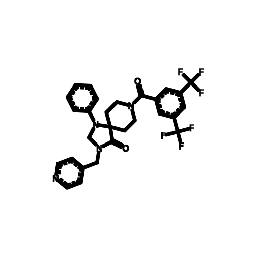 O=C(c1cc(C(F)(F)F)cc(C(F)(F)F)c1)N1CCC2(CC1)C(=O)N(Cc1ccncc1)CN2c1ccccc1